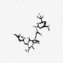 COc1cc(NC(=O)Cn2cnc3c2C(=O)N(Cc2cc(C)on2)C(O)N3C)nc(C(F)(F)F)c1